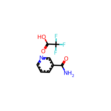 NC(=O)c1cccnc1.O=C(O)C(F)(F)F